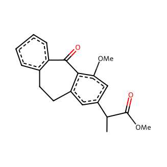 COC(=O)C(C)c1cc2c(c(OC)c1)C(=O)c1ccccc1CC2